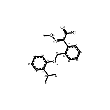 CON=C(C(=O)Cl)c1ccccc1COc1ccccc1C(C)C